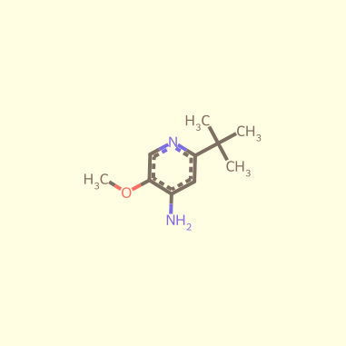 COc1cnc(C(C)(C)C)cc1N